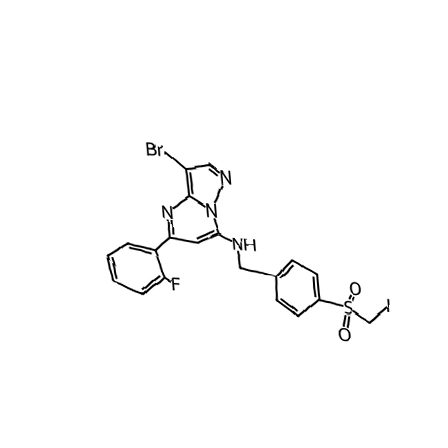 O=S(=O)(CI)c1ccc(CNc2cc(-c3ccccc3F)nc3c(Br)cnn23)cc1